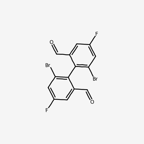 O=Cc1cc(F)cc(Br)c1-c1c(Br)cc(F)cc1C=O